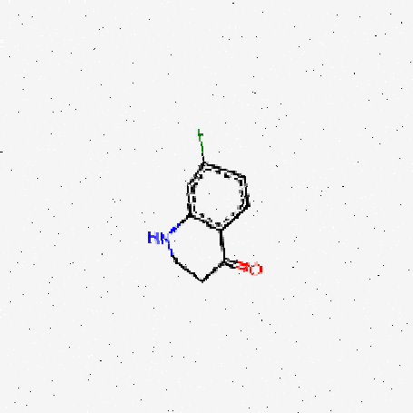 O=C1CCNc2cc(F)ccc21